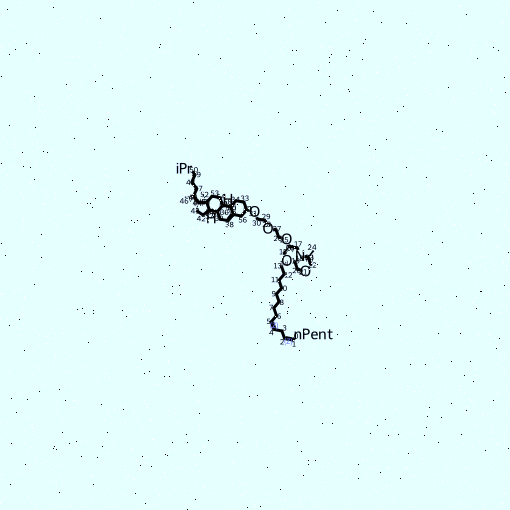 CCCCC/C=C\C/C=C\CCCCCCCCOC[C@H](CN1CCOC[C@@H]1C)OCCOCCO[C@H]1CC[C@@]2(C)C(=CCC3[C@@H]4CC[C@H]([C@H](C)CCCC(C)C)[C@@]4(C)CC[C@@H]32)C1